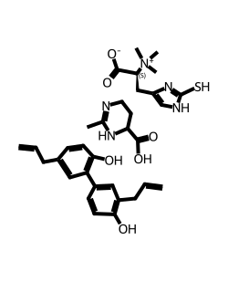 C=CCc1ccc(O)c(-c2ccc(O)c(CC=C)c2)c1.CC1=NCCC(C(=O)O)N1.C[N+](C)(C)[C@@H](Cc1c[nH]c(S)n1)C(=O)[O-]